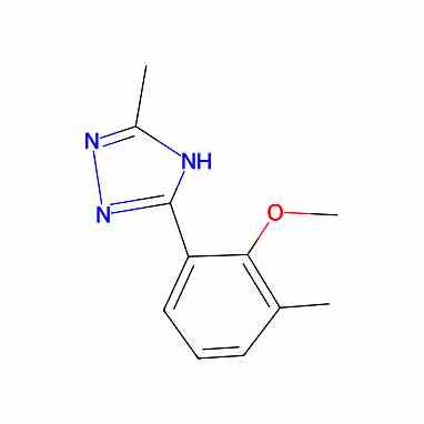 COc1c(C)cccc1-c1nnc(C)[nH]1